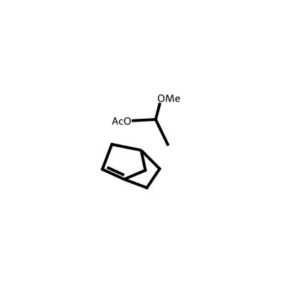 C1=C2CCC(C1)C2.COC(C)OC(C)=O